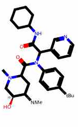 CNC1CC(C(=O)N(c2ccc(C(C)(C)C)cc2)C(C(=O)NC2CCCCC2)c2cccnc2)N(C)C[C@@H]1O